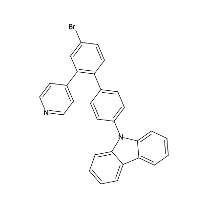 Brc1ccc(-c2ccc(-n3c4ccccc4c4ccccc43)cc2)c(-c2ccncc2)c1